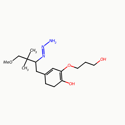 COCC(C)(C)C(CC1=CC(OCCCO)=C(O)CC1)N=NN